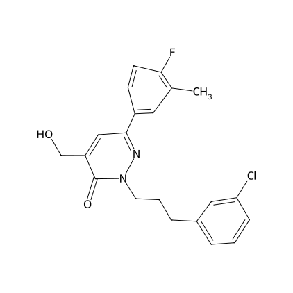 Cc1cc(-c2cc(CO)c(=O)n(CCCc3cccc(Cl)c3)n2)ccc1F